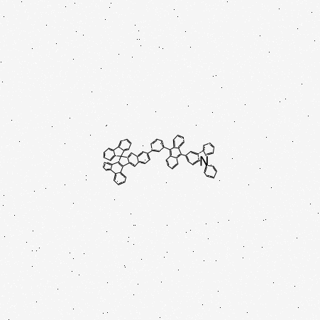 c1ccc(-n2c3ccccc3c3cc(-c4c5ccccc5c(-c5cccc(-c6ccc7cc8c(cc7c6)C6(c7ccccc7-c7ccccc76)c6c-8c7ccccc7c7ccccc67)c5)c5ccccc45)ccc32)cc1